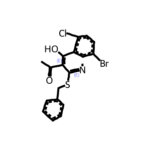 C/N=C(SCc1ccccc1)\C(C(C)=O)=C(\O)c1cc(Br)ccc1Cl